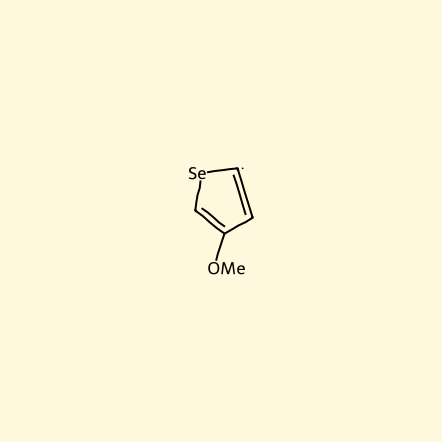 COc1c[c][se]c1